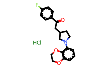 Cl.O=C(CC1CCN(c2cccc3c2OCCO3)C1)c1ccc(F)cc1